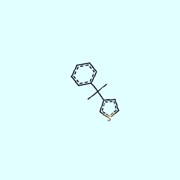 CC(C)(c1ccccc1)c1ccsc1